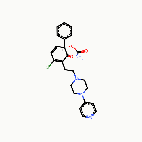 NC(=O)O[C@@]1(c2ccccc2)C=CC(Cl)=C(CCN2CCN(c3ccncc3)CC2)C1=O